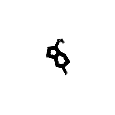 Cc1[c]sc2cc(F)ccc12